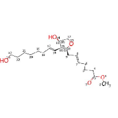 COC(=O)CCCC=CC[C@@H]1OC[C@H](O)[C@@H]1C=CCCCCCCO